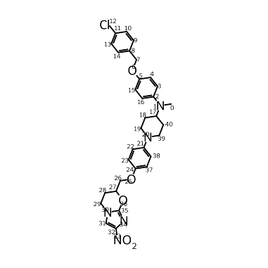 CN(c1ccc(OCc2ccc(Cl)cc2)cc1)C1CCN(c2ccc(OCC3CCn4cc([N+](=O)[O-])nc4O3)cc2)CC1